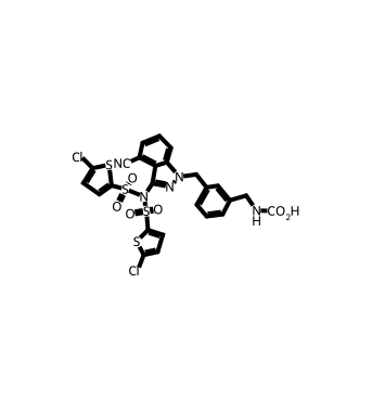 N#Cc1cccc2c1c(N(S(=O)(=O)c1ccc(Cl)s1)S(=O)(=O)c1ccc(Cl)s1)nn2Cc1cccc(CNC(=O)O)c1